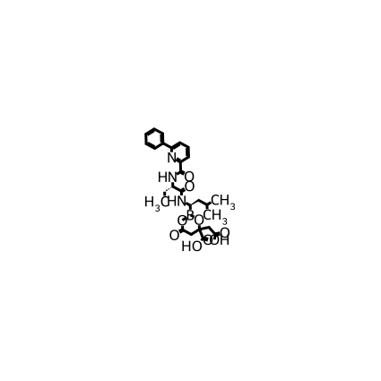 CC[C@H](NC(=O)c1cccc(-c2ccccc2)n1)C(=O)N[C@@H](CC(C)C)B1OC(=O)CC(CC(=O)O)(C(=O)O)O1